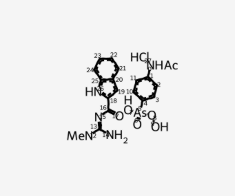 CC(=O)Nc1ccc([As](=O)(O)OO)cc1.CNC(N)=NC(=O)c1cc2ccccc2[nH]1.Cl